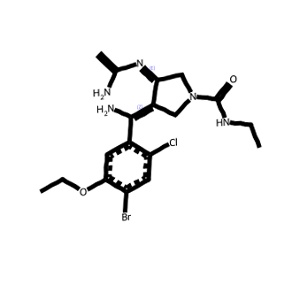 C=C(N)/N=C1/CN(C(=O)NCC)C/C1=C(/N)c1cc(OCC)c(Br)cc1Cl